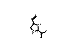 C=CC1COC(C(C)C)O1